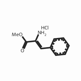 COC(=O)C(N)=Cc1ccccc1.Cl